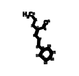 CCCC(C=O)=CC=Cc1ccccc1